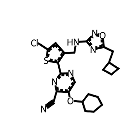 N#Cc1nc(-c2sc(Cl)cc2CNc2noc(CC3CCC3)n2)ncc1OC1CCCCC1